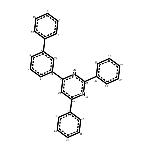 c1ccc(-c2cccc(-c3cc(-c4ccccc4)nc(-c4ccccc4)n3)c2)cc1